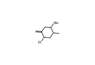 C=C1CN(C(C)(C)C)C(C)CN1CC